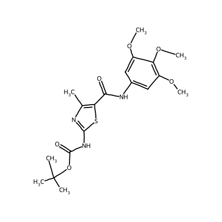 COc1cc(NC(=O)c2sc(NC(=O)OC(C)(C)C)nc2C)cc(OC)c1OC